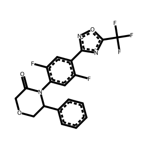 O=C1COCC(c2ccccc2)N1c1cc(F)c(-c2noc(C(F)(F)F)n2)cc1F